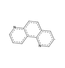 [c]1cnc2c(c1)ccc1ncccc12